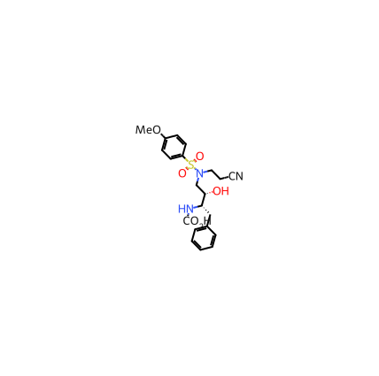 COc1ccc(S(=O)(=O)N(CCC#N)C[C@H](O)[C@H](Cc2ccccc2)NC(=O)O)cc1